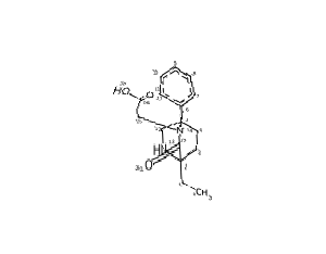 CCC12CCC(c3ccccc3)(CN1)N(CC(=O)O)C2=O